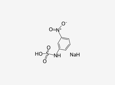 O=[N+]([O-])c1cccc(NS(=O)(=O)O)c1.[NaH]